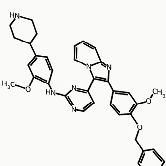 COc1cc(C2CCNCC2)ccc1Nc1nccc(-c2c(-c3ccc(OCc4ccccc4)c(OC)c3)nc3ccccn23)n1